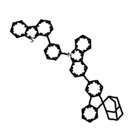 c1cc(-c2cccc3c2sc2ccccc23)cc(-n2c3ccccc3c3cc(-c4ccc5c(c4)-c4ccccc4C54C5CC6CC(C5)CC4C6)ccc32)c1